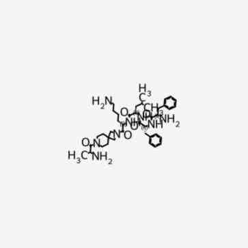 CC(C)C[C@@H](NC(=O)[C@@H](Cc1ccccc1)NC(=O)[C@H](N)Cc1ccccc1)C(=O)N[C@H](CCCCN)C(=O)N1CC2(CCN(C(=O)C(C)N)CC2)C1